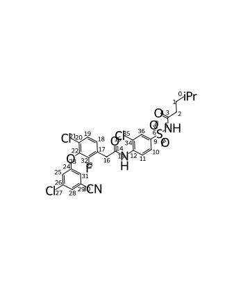 CC(C)CCC(=O)NS(=O)(=O)c1ccc(NC(=O)Cc2ccc(Cl)c(Oc3cc(Cl)cc(C#N)c3)c2F)c(Cl)c1